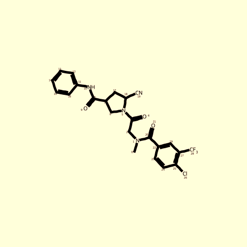 CN(CC(=O)N1CC(C(=O)Nc2ccccc2)CC1C#N)C(=O)c1ccc(Cl)c(C(F)(F)F)c1